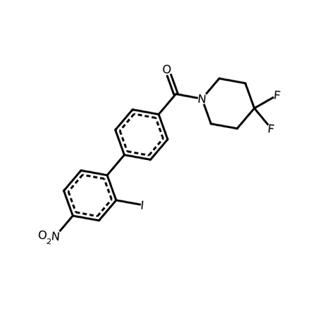 O=C(c1ccc(-c2ccc([N+](=O)[O-])cc2I)cc1)N1CCC(F)(F)CC1